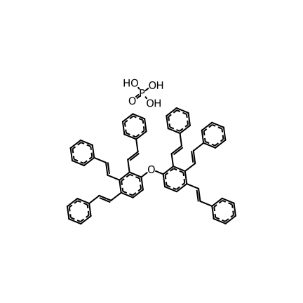 C(=Cc1ccc(Oc2ccc(C=Cc3ccccc3)c(C=Cc3ccccc3)c2C=Cc2ccccc2)c(C=Cc2ccccc2)c1C=Cc1ccccc1)c1ccccc1.O=P(O)(O)O